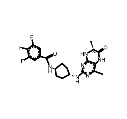 Cc1nc(N[C@H]2CC[C@@H](NC(=O)c3cc(F)c(F)c(F)c3)CC2)nc2c1NC(=O)[C@H](C)N2